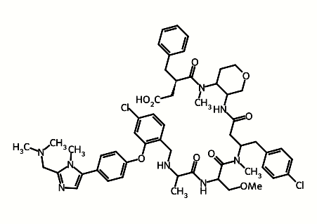 COCC(NC(=O)C(C)NCc1ccc(Cl)cc1Oc1ccc(-c2cnc(CN(C)C)n2C)cc1)C(=O)N(C)C(CC(=O)NC1COCCC1N(C)C(=O)[C@@H](CC(=O)O)Cc1ccccc1)Cc1ccc(Cl)cc1